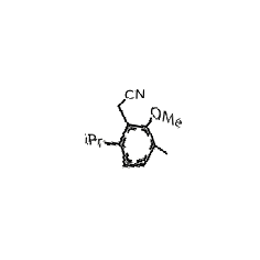 COc1c(C)ccc(C(C)C)c1CC#N